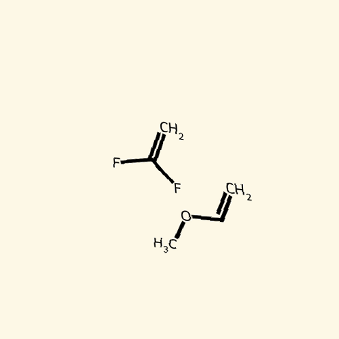 C=C(F)F.C=COC